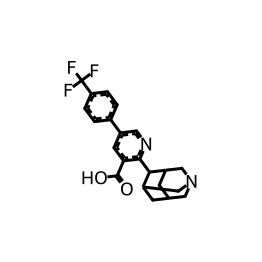 O=C(O)c1cc(-c2ccc(C(F)(F)F)cc2)cnc1C1C2CC3CC1CN(C3)C2